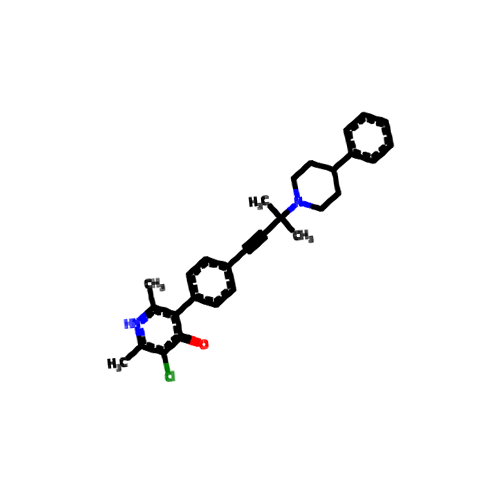 Cc1[nH]c(C)c(-c2ccc(C#CC(C)(C)N3CCC(c4ccccc4)CC3)cc2)c(=O)c1Cl